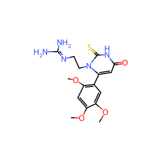 COc1cc(OC)c(-c2cc(=O)[nH]c(=S)n2CCN=C(N)N)cc1OC